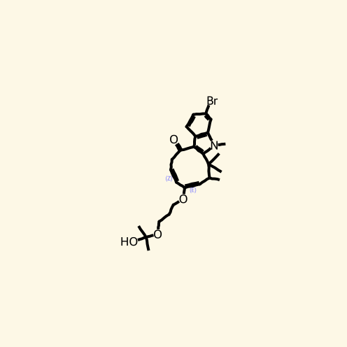 CC1/C=C(OCCCOC(C)(C)O)\C=C/CC(=O)c2c(n(C)c3cc(Br)ccc23)C1(C)C